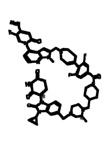 CNc1cc(=O)n(-c2ccnc3c2cc(CN2CC=C(c4c(F)cc(C(=O)N5CCC(CN6CCN(Cc7ccc8c(c7)n(C7CC7)c(=O)n8[C@@H]7CCC(=O)NC7=O)C[C@@H]6C)CC5)cc4F)CC2)n3C)cc1F